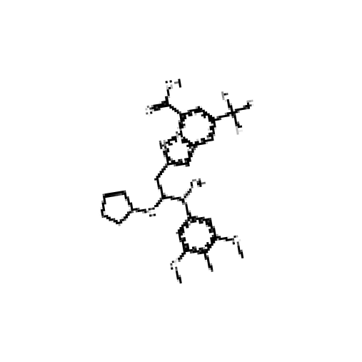 COc1cc(C(O)C(Cc2cc3cc(C(F)(F)F)cc(C(=O)O)n3n2)OC2CCCC2)cc(OC)c1C